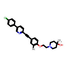 CC(=O)c1cc(C#Cc2ccc(-c3ccc(Cl)cc3)cn2)ccc1OCCN1CCC(O)(C(F)(F)F)CC1